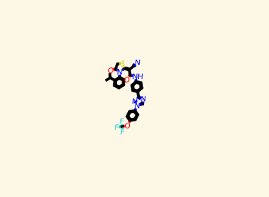 CC(C)c1ccccc1N1C(=O)CSC1=C(C#N)C(=O)Nc1ccc(-c2ncn(-c3ccc(OC(F)(F)F)cc3)n2)cc1